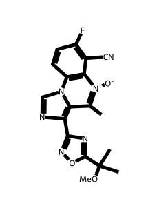 COC(C)(C)c1nc(-c2ncn3c2c(C)[n+]([O-])c2c(C#N)c(F)ccc23)no1